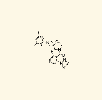 Cc1cc(C)nc(N2CC3(CN(C(=O)c4c(F)cccc4-n4nccn4)CCO3)C2)n1